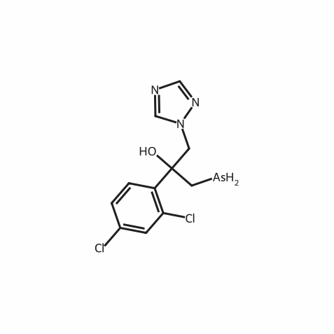 OC(C[AsH2])(Cn1cncn1)c1ccc(Cl)cc1Cl